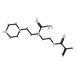 C=C(C)C(=O)OCCN(CCN1CCOCC1)C(N)=O